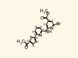 COC(=O)c1cc(Br)nc(Nc2cccc(-c3ccc(C(C)=O)s3)n2)c1